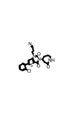 N#CCCn1c(=O)n([C@@H]2CCCNC(=O)C2)c(=O)c2sc(-c3ccccc3Cl)cc21